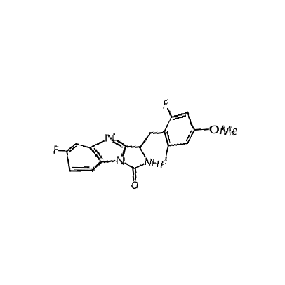 COc1cc(F)c(CC2NC(=O)n3c2nc2cc(F)ccc23)c(F)c1